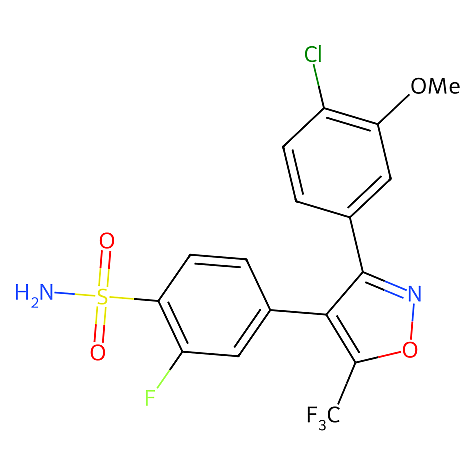 COc1cc(-c2noc(C(F)(F)F)c2-c2ccc(S(N)(=O)=O)c(F)c2)ccc1Cl